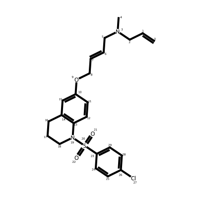 C=CCN(C)CC=CCOc1ccc2c(c1)CCCN2S(=O)(=O)c1ccc(Cl)cc1